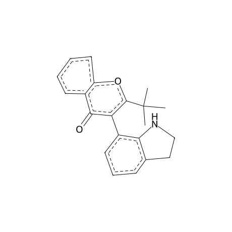 CC(C)(C)c1oc2ccccc2c(=O)c1-c1cccc2c1NCC2